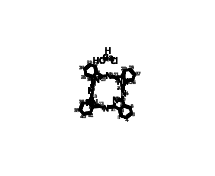 [OH][GaH][Cl].c1ccc2c(c1)-c1nc-2nc2[nH]c(nc3nc(nc4[nH]c(n1)c1ccccc41)-c1ccccc1-3)c1ccccc21